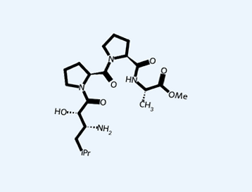 COC(=O)[C@H](C)NC(=O)[C@@H]1CCCN1C(=O)[C@@H]1CCCN1C(=O)[C@@H](O)[C@H](N)CC(C)C